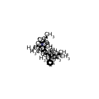 CCOC(=O)/C(=C/[C@H](C(C)C)N(C)C(=O)[C@@H](NC(=O)[C@@H](N(C)C(=O)OC(C)(C)C)C(C)(C)c1ccccc1)C(C)(C)C)CC